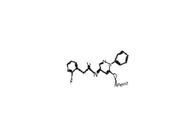 CCCCCOc1c/c(=N/C(=O)Cc2ccccc2F)cnn1-c1ccccc1